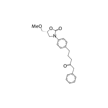 COC[C@H]1CN(c2ccc(CCCC(=O)Cc3ccccc3)cc2)C(=O)O1